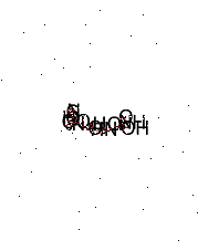 O=C(Cc1ccc(OCc2ccc(CNC[C@H](O)c3ccc(O)c4[nH]c(=O)ccc34)cc2)cc1)N1CC(C(=O)O[C@H]2CN3CCC2CC3)(c2ccccc2)C1